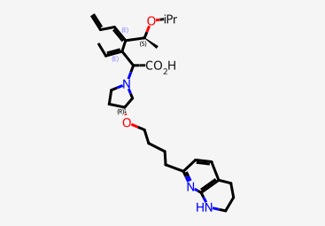 C=C/C=C(\C(=C/C)C(C(=O)O)N1CC[C@@H](OCCCCc2ccc3c(n2)NCCC3)C1)[C@H](C)OC(C)C